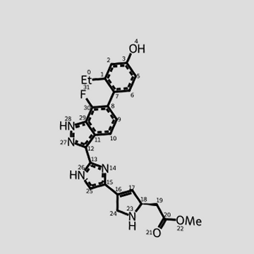 CCc1cc(O)ccc1-c1ccc2c(-c3nc(C4=C[C@@H](CC(=O)OC)NC4)c[nH]3)n[nH]c2c1F